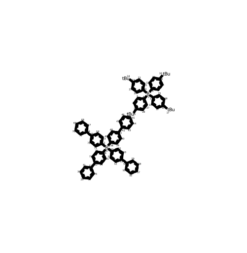 CC(C)(C)c1ccc([B-](c2ccc(C(C)(C)C)cc2)(c2ccc(C(C)(C)C)cc2)c2ccc(C(C)(C)C)cc2)cc1.c1ccc(-c2ccc([B-](c3ccc(-c4ccccc4)cc3)(c3ccc(-c4ccccc4)cc3)c3ccc(-c4ccccc4)cc3)cc2)cc1